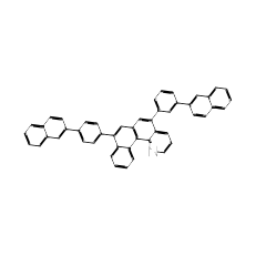 c1cc(-c2ccc3ccccc3c2)cc(-c2cc3cc(-c4ccc(-c5ccc6ccccc6c5)cc4)c4ccccc4c3c3ncccc23)c1